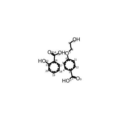 O=C(O)c1ccc(OCCO)cc1.O=C(O)c1ccccc1O